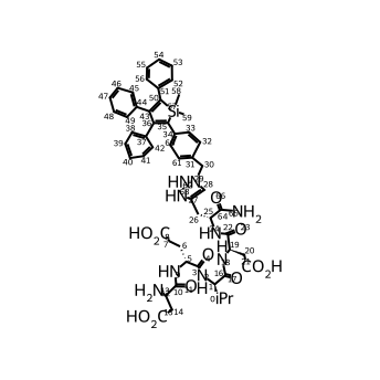 CC(C)[C@@H](NC(=O)[C@@H](CCC(=O)O)NC(=O)[C@H](N)CC(=O)O)C(=O)N[C@H](CC(=O)O)C(=O)N[C@H](CC1=CN(Cc2ccc(C3=C(c4ccccc4)C(c4ccccc4)=C(c4ccccc4)[Si]3(C)C)cc2)NN1)C(N)=O